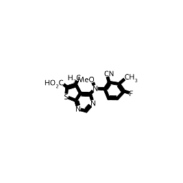 CON(c1ccc(F)c(C)c1C#N)c1ncnc2sc(C(=O)O)c(C)c12